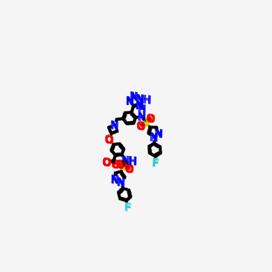 O=C(O)c1cc(OC2CN(Cc3ccc(NS(=O)(=O)c4cnn(-c5ccc(F)cc5)c4)c(-c4nn[nH]n4)c3)C2)ccc1NS(=O)(=O)c1cnn(-c2ccc(F)cc2)c1